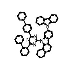 c1ccc(-c2ccc(-c3nc(-c4ccccc4-c4ccccc4)nc(-n4c5cc(-n6c7ccccc7c7ccccc76)ccc5c5ccc6ccccc6c54)n3)cc2)cc1